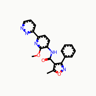 COc1nc(-c2cccnn2)ccc1NC(=O)c1c(-c2ccccc2)noc1C